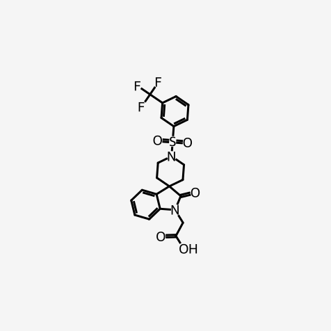 O=C(O)CN1C(=O)C2(CCN(S(=O)(=O)c3cccc(C(F)(F)F)c3)CC2)c2ccccc21